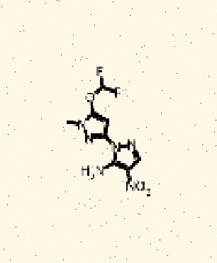 Cn1nc(-n2ncc([N+](=O)[O-])c2N)cc1OC(F)F